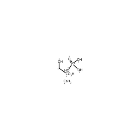 O=C(O)CO.O=P(O)(O)O.[CaH2]